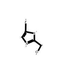 Fc1cnc(CCl)s1